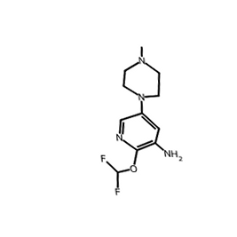 CN1CCN(c2cnc(OC(F)F)c(N)c2)CC1